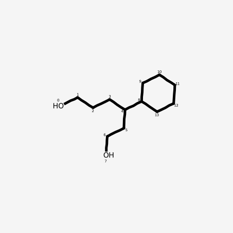 OCCCC(CCO)C1CCCCC1